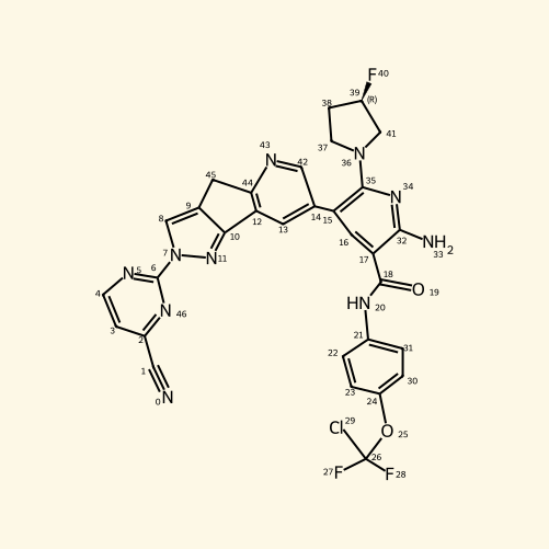 N#Cc1ccnc(-n2cc3c(n2)-c2cc(-c4cc(C(=O)Nc5ccc(OC(F)(F)Cl)cc5)c(N)nc4N4CC[C@@H](F)C4)cnc2C3)n1